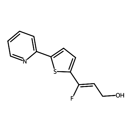 OC/C=C(\F)c1ccc(-c2ccccn2)s1